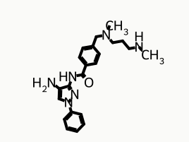 CNCCCN(C)Cc1ccc(C(=O)Nc2nn(-c3ccccc3)cc2N)cc1